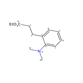 CCOC(=O)CCc1ccccc1N(C)C